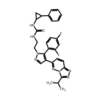 CC(C)c1nnc2ccc(-c3cnn(CCNC(=O)NC4CC4c4ccccc4)c3-c3ccc(F)cc3F)nn12